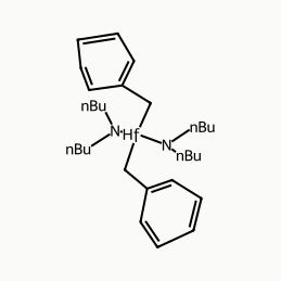 CCCC[N](CCCC)[Hf]([CH2]c1ccccc1)([CH2]c1ccccc1)[N](CCCC)CCCC